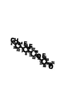 CCc1ccc(-c2ccc(C3CCC(OCc4ccc(C5CO5)cc4F)CC3)c(F)c2F)cc1